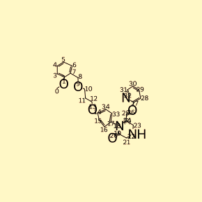 COc1ccccc1COCCCOc1ccc(N2C(=O)CNC[C@@H]2COc2ccccn2)cc1